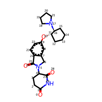 O=C1CCC(N2Cc3cc(O[C@H]4CCCC[C@@H]4N4CCCC4)ccc3C2=O)C(=O)N1